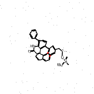 C[C@@H](Cc1cccc(-c2ccc(-c3ccccc3)c3[nH]c(=O)c4ccc5ccccc5c4c23)c1)O[Si](C)(C)C(C)(C)C